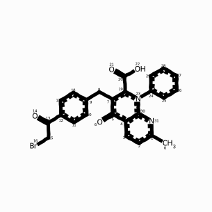 Cc1ccc2c(=O)c(Cc3ccc(C(=O)CBr)cc3)c(C(=O)O)n(-c3ccccc3)c2n1